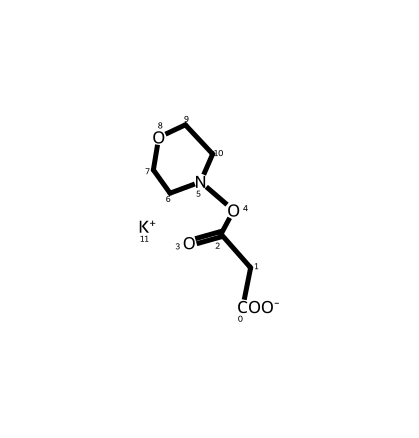 O=C([O-])CC(=O)ON1CCOCC1.[K+]